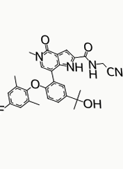 Cc1cc(F)cc(C)c1Oc1ccc(C(C)(C)O)cc1-c1cn(C)c(=O)c2cc(C(=O)NCC#N)[nH]c12